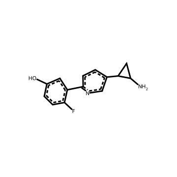 NC1CC1c1ccc(-c2cc(O)ccc2F)nc1